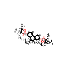 CCCCCCCCC1(CCCCCCCC)c2cc(B3OC(C)(C)C(C)(C)O3)ccc2-c2ccc(B3OC(C)(C)C(C)(C)O3)cc2C1(C)C